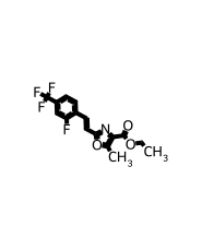 CCOC(=O)c1nc(/C=C/c2ccc(C(F)(F)F)cc2F)oc1C